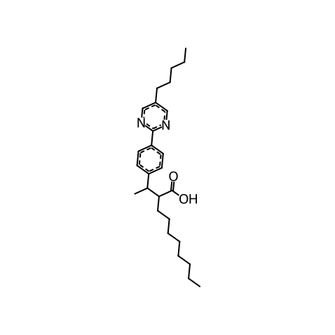 CCCCCCCCC(C(=O)O)C(C)c1ccc(-c2ncc(CCCCC)cn2)cc1